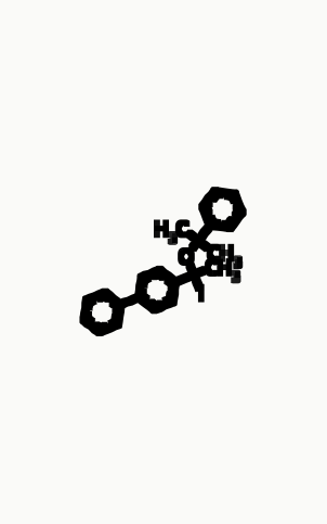 CC(C)(OC(C)(I)c1ccc(-c2ccccc2)cc1)c1ccccc1